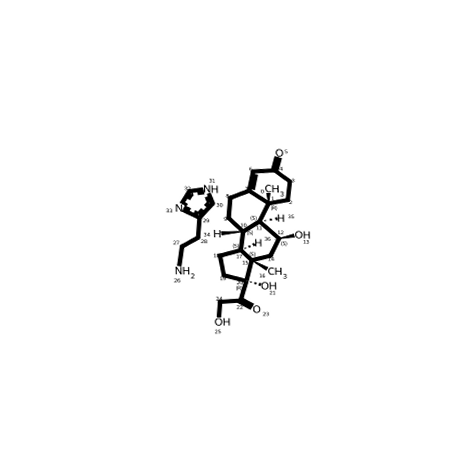 C[C@]12CCC(=O)C=C1CC[C@@H]1[C@@H]2[C@@H](O)C[C@@]2(C)[C@H]1CC[C@]2(O)C(=O)CO.NCCc1c[nH]cn1